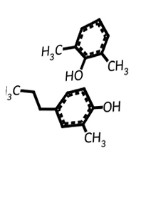 CCCc1ccc(O)c(C)c1.Cc1cccc(C)c1O